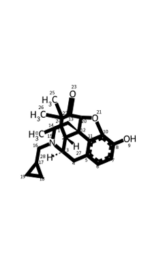 CC1[C@H]2[C@H]3Cc4ccc(O)c5c4[C@@]2(CCN3CC2CC2)C(O5)C(=O)C1(C)C